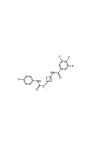 C[C@H](C(=O)Nc1ccc(F)cc1)C12CC(NC(=O)c3cc(F)c(F)c(F)c3)(C1)C2